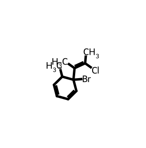 CC(Cl)=C(C)C1(Br)C=CC=CC1C